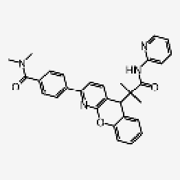 CN(C)C(=O)c1ccc(-c2ccc3c(n2)Oc2ccccc2C3C(C)(C)C(=O)Nc2ccccn2)cc1